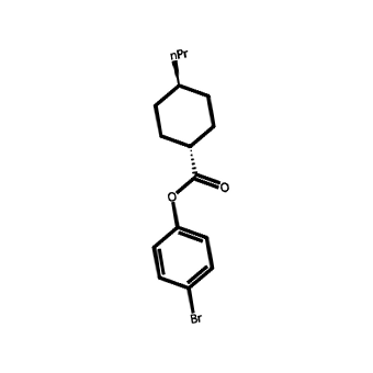 CCC[C@H]1CC[C@H](C(=O)Oc2ccc(Br)cc2)CC1